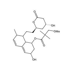 COCC(C)(C)C(=O)OC1CC(O)C=C2C=CC(C)C(CC[C@@H]3C[C@@H](O)CC(=O)O3)C21